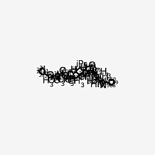 CC(C)C1=C2[C@H]3CC[C@@H]4[C@@]5(C)CC[C@H](OC(=O)[C@H]6C[C@@H](C(=O)OCc7ccccc7)C6(C)C)C(C)(C)[C@@H]5CC[C@@]4(C)[C@]3(C)CC[C@@]2(NC(=O)C(C)(C)NC(=O)c2cc(-c3ccccc3)n[nH]2)CC1=O